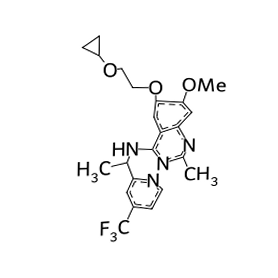 COc1cc2nc(C)nc(NC(C)c3cc(C(F)(F)F)ccn3)c2cc1OCCOC1CC1